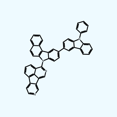 c1ccc(-n2c3ccccc3c3cc(-c4ccc5c(c4)c4c6ccccc6ccc4n5-c4ncc5c6c(cccc46)-c4ccncc4-5)ccc32)cc1